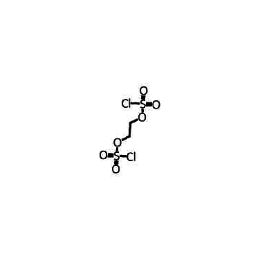 O=S(=O)(Cl)OCCOS(=O)(=O)Cl